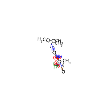 CCC[C@H](CSc1ccccc1)Nc1ccc(S(=O)(=O)NC(=O)c2ccc(N3CCN(CC4=C(c5ccc(C)cc5)CCC(C)(C)C4)CC3)cc2)cc1S(=O)(=O)C(F)(F)F